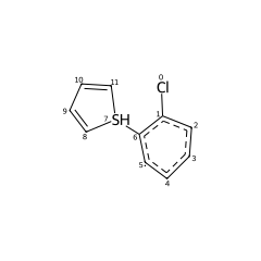 Clc1ccc[c]c1[SH]1C=CC=C1